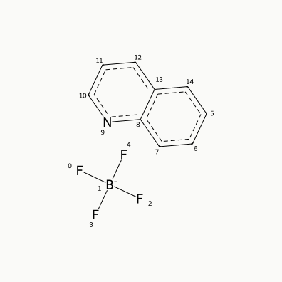 F[B-](F)(F)F.c1ccc2ncccc2c1